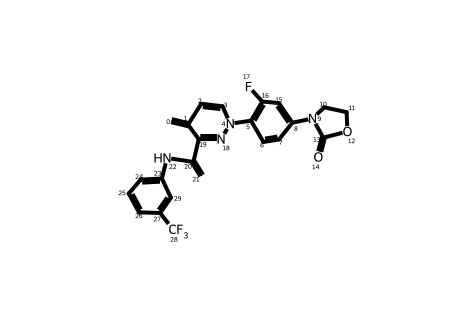 C=C1C=CN(c2ccc(N3CCOC3=O)cc2F)N=C1C(=C)Nc1cccc(C(F)(F)F)c1